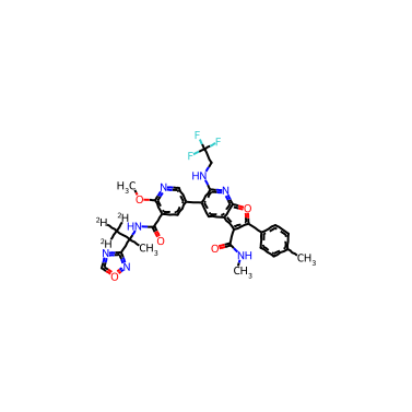 [2H]C([2H])([2H])C(C)(NC(=O)c1cc(-c2cc3c(C(=O)NC)c(-c4ccc(C)cc4)oc3nc2NCC(F)(F)F)cnc1OC)c1ncon1